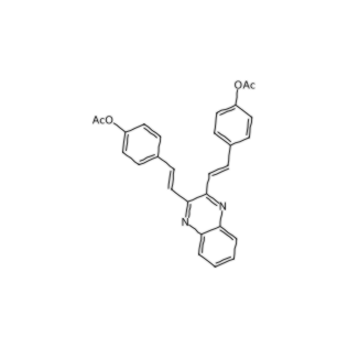 CC(=O)Oc1ccc(C=Cc2nc3ccccc3nc2C=Cc2ccc(OC(C)=O)cc2)cc1